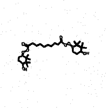 CC1(C)C(O)CCN(OOC(=O)CCCCCCCCC(=O)OON2CCC(O)C(C)(C)C2(C)C)C1(C)C